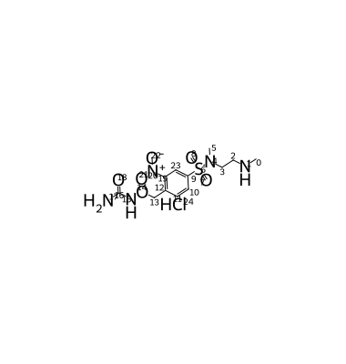 CNCCN(C)S(=O)(=O)c1ccc(CONC(N)=O)c([N+](=O)[O-])c1.Cl